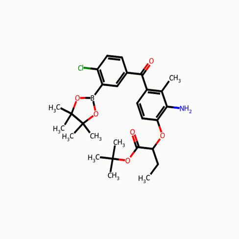 CCC(Oc1ccc(C(=O)c2ccc(Cl)c(B3OC(C)(C)C(C)(C)O3)c2)c(C)c1N)C(=O)OC(C)(C)C